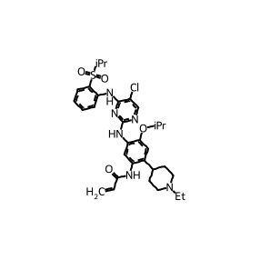 C=CC(=O)Nc1cc(Nc2ncc(Cl)c(Nc3ccccc3S(=O)(=O)C(C)C)n2)c(OC(C)C)cc1C1CCN(CC)CC1